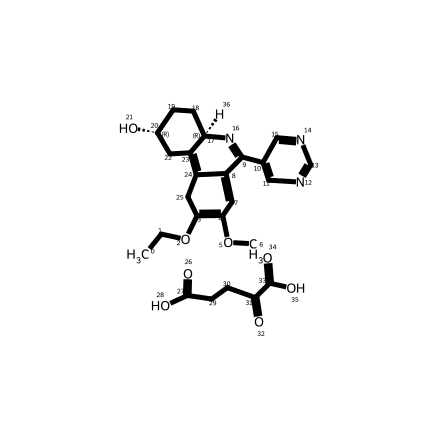 CCOC1=C(OC)C=C2C(c3cncnc3)=N[C@@H]3CC[C@@H](O)CC3=C2C1.O=C(O)CCC(=O)C(=O)O